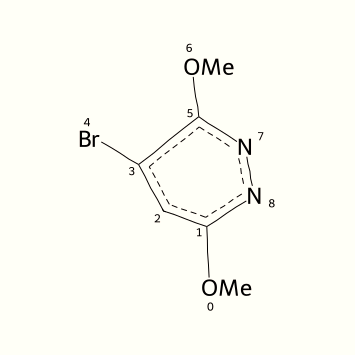 COc1cc(Br)c(OC)nn1